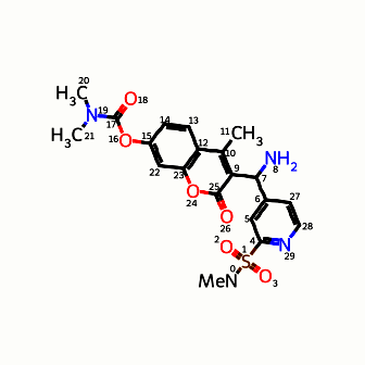 CNS(=O)(=O)c1cc(C(N)c2c(C)c3ccc(OC(=O)N(C)C)cc3oc2=O)ccn1